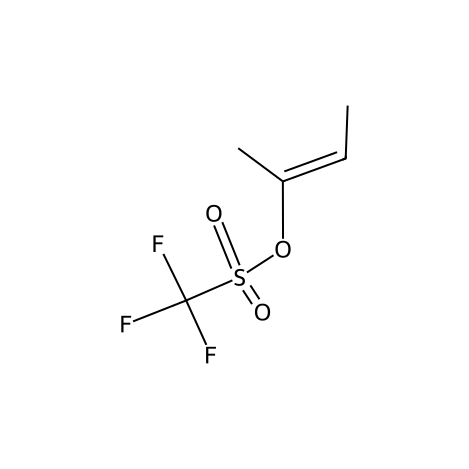 C/C=C(\C)OS(=O)(=O)C(F)(F)F